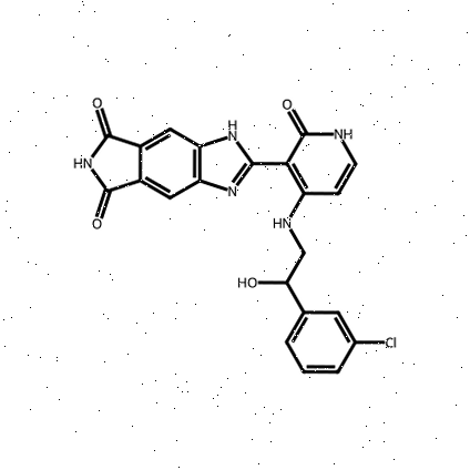 O=C1NC(=O)c2cc3[nH]c(-c4c(NCC(O)c5cccc(Cl)c5)cc[nH]c4=O)nc3cc21